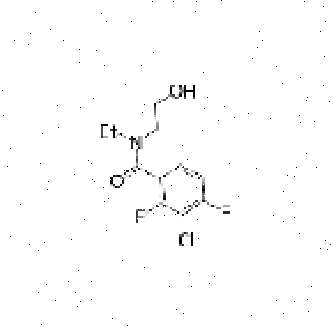 CCN(CCO)C(=O)c1ccc(F)c(Cl)c1F